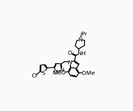 COc1ccc(OC)c2c1cc(C(=O)NC1CCN(C(C)C)CC1)n2Cc1cc(-c2ccc(Cl)s2)on1